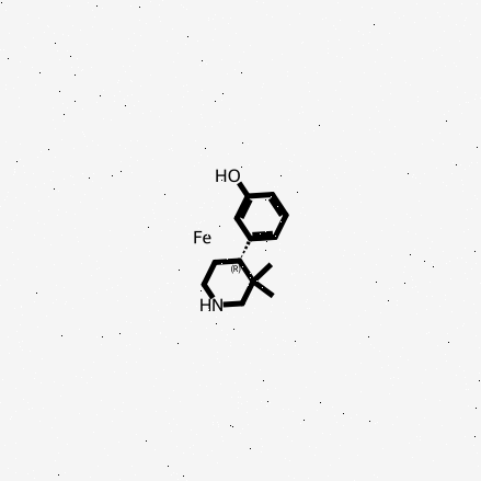 CC1(C)CNCC[C@@H]1c1cccc(O)c1.[Fe]